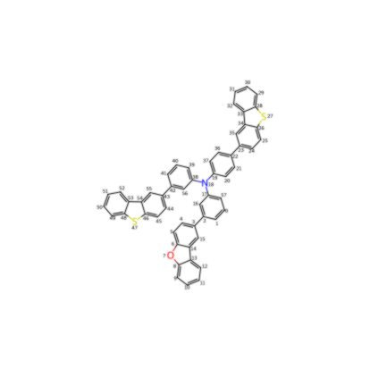 c1cc(-c2ccc3oc4ccccc4c3c2)cc(N(c2ccc(-c3ccc4sc5ccccc5c4c3)cc2)c2cccc(-c3ccc4sc5ccccc5c4c3)c2)c1